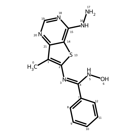 Cc1c(N=C(NO)c2ccccc2)sc2c(NN)ncnc12